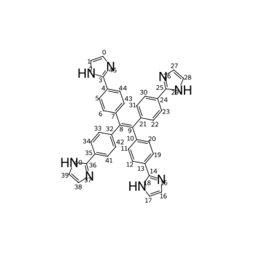 c1c[nH]c(-c2ccc(C(=C(c3ccc(-c4ncc[nH]4)cc3)c3ccc(-c4ncc[nH]4)cc3)c3ccc(-c4ncc[nH]4)cc3)cc2)n1